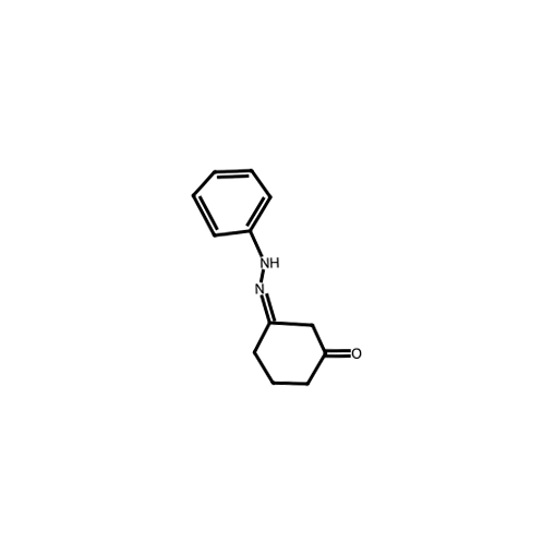 O=C1CCCC(=NNc2ccccc2)C1